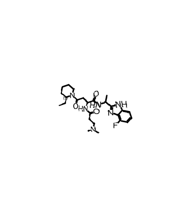 CC[C@H]1CCCCN1C(=O)CC(NC(=O)CCN(C)C)C(=O)NC(C)c1nc2c(F)cccc2[nH]1